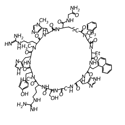 CCC1NC(=O)C(Cc2ccccc2)N(C)C(=O)CSCC(C(=O)NCC(N)=O)NC(=O)C(Cc2cncn2C)NC(=O)C(CCCNC(=N)N)N(C)C(=O)C(Cc2c[nH]cn2)NC(=O)C(Cc2ccc(O)cc2)N(C)C(=O)C(CCCNC(=N)N)NC(=O)C(CO)NC(=O)CNC(=O)C(Cc2c[nH]cn2)NC(=O)C(Cc2cccc3ccccc23)NC1=O